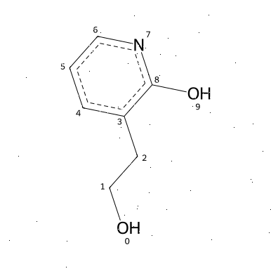 OCCc1cccnc1O